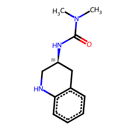 CN(C)C(=O)N[C@@H]1CNc2ccccc2C1